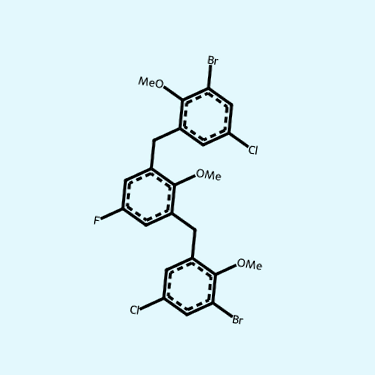 COc1c(Br)cc(Cl)cc1Cc1cc(F)cc(Cc2cc(Cl)cc(Br)c2OC)c1OC